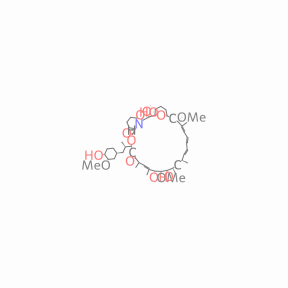 CO[C@H]1CC2CC[C@@H](C)[C@@](O)(O2)C(=O)C(=O)N2CCCC[C@H]2C(=O)O[C@H]([C@H](C)C[C@@H]2CCC(O)[C@H](OC)C2)CC(=O)C(C)/C=C(\C)C(O)[C@@H](OC)C(=O)[C@H](C)C[C@H](C)/C=C/C=C/C=C/1C